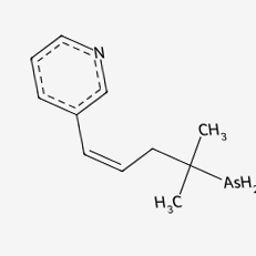 CC(C)([AsH2])C/C=C\c1cccnc1